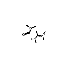 CN(C)C=O.CNC(C)=[N+](C)C